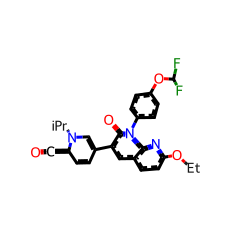 CCOc1ccc2cc(C3=CN(C(C)C)C(=C=O)C=C3)c(=O)n(-c3ccc(OC(F)F)cc3)c2n1